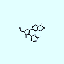 Cc1cccc(-c2[nH]c(C=O)nc2-c2ccc3[nH]ncc3c2)n1